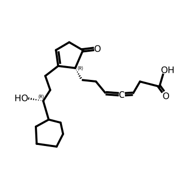 O=C(O)CC=C=CCC[C@H]1C(=O)CC=C1CC[C@@H](O)C1CCCCC1